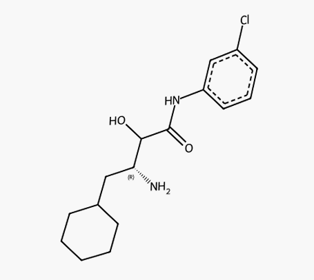 N[C@H](CC1CCCCC1)C(O)C(=O)Nc1cccc(Cl)c1